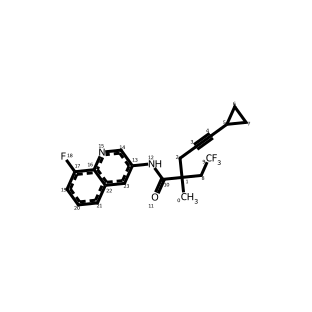 CC(CC#CC1CC1)(CC(F)(F)F)C(=O)Nc1cnc2c(F)cccc2c1